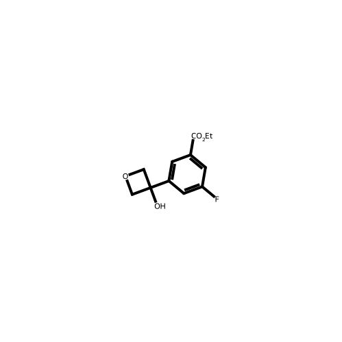 CCOC(=O)c1cc(F)cc(C2(O)COC2)c1